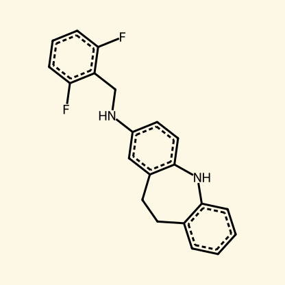 Fc1cccc(F)c1CNc1ccc2c(c1)CCc1ccccc1N2